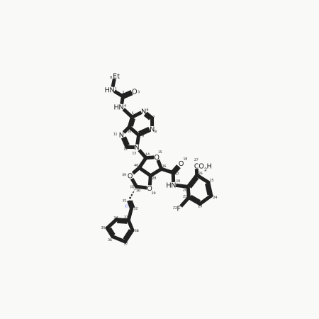 CCNC(=O)Nc1ncnc2c1ncn2C1OC(C(=O)Nc2c(F)cccc2C(=O)O)C2O[C@H](/C=C/c3ccccc3)OC21